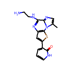 Cc1cnc2c(NCCN)nc3cc(-c4ccc[nH]c4=O)sc3n12